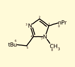 CCCc1cnc(CC(C)(C)C)n1C